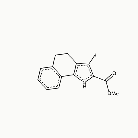 COC(=O)c1[nH]c2c(c1I)CCc1ccccc1-2